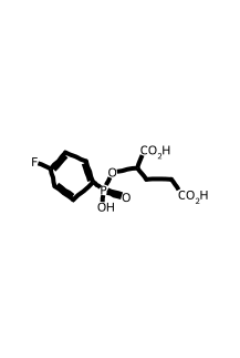 O=C(O)CCC(OP(=O)(O)c1ccc(F)cc1)C(=O)O